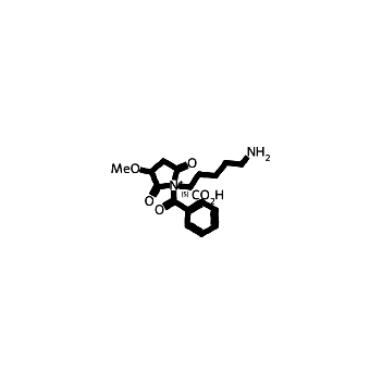 COC1CC(=O)[N+](C(=O)c2ccccc2)([C@@H](CCCCN)C(=O)O)C1=O